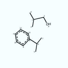 CC(C)CO.CC(C)c1ccccc1